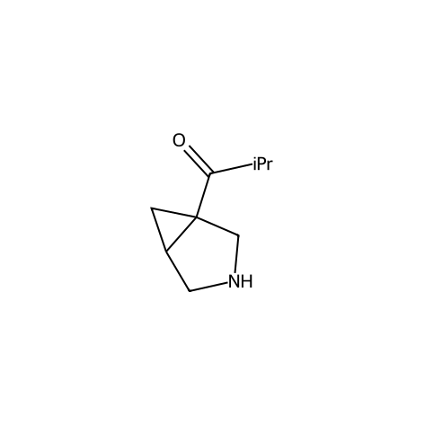 CC(C)C(=O)C12CNCC1C2